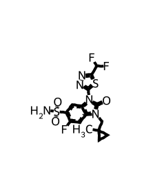 CC1(Cn2c(=O)n(-c3nnc(C(F)F)s3)c3cc(S(N)(=O)=O)c(F)cc32)CC1